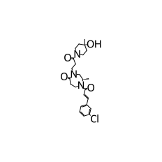 C[C@@H]1CN(CCC(=O)N2CCC(C)(O)CC2)C(=O)CCN1C(=O)/C=C/c1cccc(Cl)c1